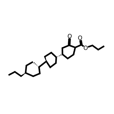 CCCOC(=O)C1CCC([C@H]2CC[C@H]([C@H]3CC[C@H](CCC)CC3)CC2)CC1=O